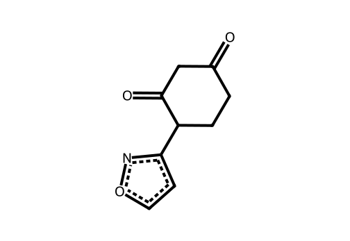 O=C1CCC(c2ccon2)C(=O)C1